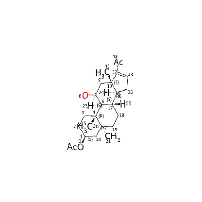 CC(=O)O[C@H]1CC[C@]2(C)[C@H]3C(=O)C[C@]4(C)C(C(C)=O)=CC[C@H]4[C@@H]3CC[C@@]2(C)C1